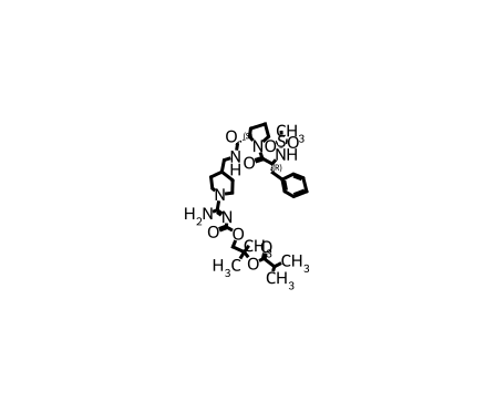 CC(C)C(=O)OC(C)(C)COC(=O)N=C(N)N1CCC(CNC(=O)[C@@H]2CCCN2C(=O)[C@@H](Cc2ccccc2)NS(C)(=O)=O)CC1